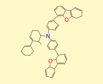 CC1C(C2=CCCCC2)=CCCC1N(c1ccc(-c2cccc3c4c(oc23)CCC=C4)cc1)c1ccc(C2C=CC=C3C4C=CC=CC4OC32)cc1